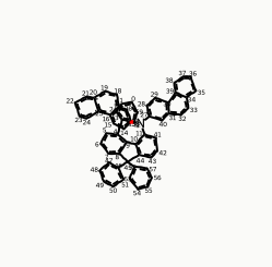 c1ccc(-c2cccc3c2-c2c(N(c4ccc5c(ccc6ccccc65)c4)c4ccc5c(ccc6ccccc65)c4)cccc2C3(c2ccccc2)c2ccccc2)cc1